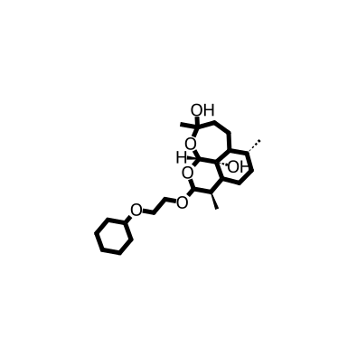 C[C@H]1C(OCCOC2CCCCC2)O[C@@H]2OC(C)(O)CCC3[C@H](C)CCC1[C@]32O